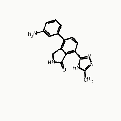 Cc1nnc(-c2ccc(-c3cccc(N)c3)c3c2C(=O)NC3)[nH]1